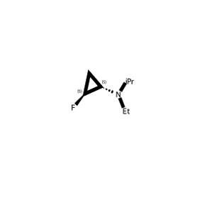 CCN(C(C)C)[C@H]1C[C@@H]1F